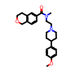 COc1ccc(C2CCN(CCN(C)C(=O)c3ccc4c(c3)CCOC4)CC2)cc1